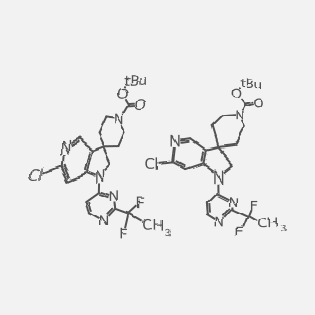 CC(C)(C)OC(=O)N1CCC2(CC1)CN(c1ccnc(C(C)(F)F)n1)c1cc(Cl)ncc12.CC(C)(C)OC(=O)N1CCC2(CC1)CN(c1ccnc(C(C)(F)F)n1)c1cc(Cl)ncc12